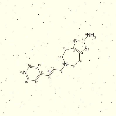 Nc1nc2c(s1)CCN(C/C=C/c1ccncc1)CC2